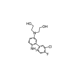 Nc1ccc(N(CCO)CCO)cc1-c1ccc(F)c(Cl)c1